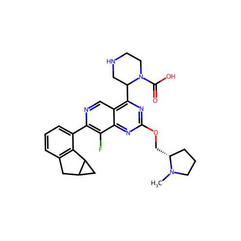 CN1CCC[C@H]1COc1nc(C2CNCCN2C(=O)O)c2cnc(-c3cccc4c3C3CC3C4)c(F)c2n1